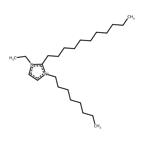 CCCCCCCCCCCc1n(CC)cc[n+]1CCCCCCCC